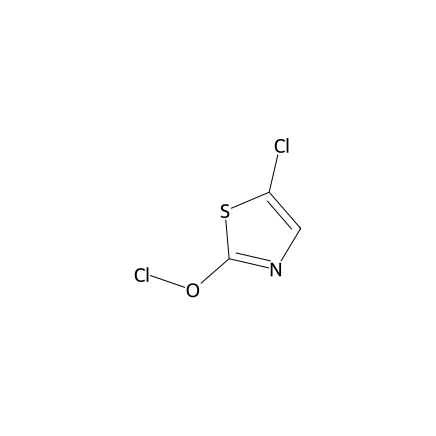 ClOc1ncc(Cl)s1